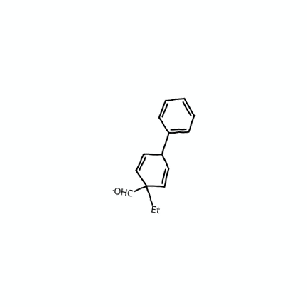 CCC1([C]=O)C=CC(c2ccccc2)C=C1